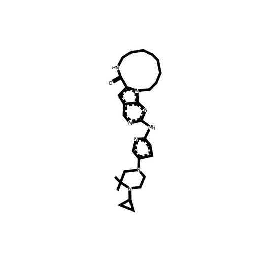 CC1(C)CN(c2ccc(Nc3ncc4cc5n(c4n3)CCCCCCCCNC5=O)nc2)CCN1C1CC1